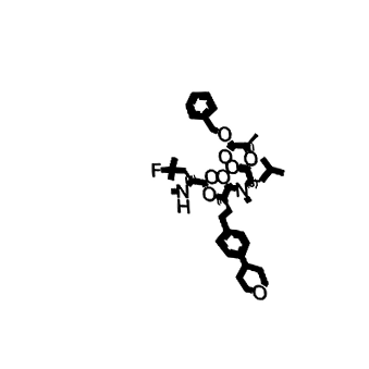 CN[C@@H](CC(C)(C)F)C(=O)O[C@H](CCc1ccc(C2CCOCC2)cc1)C(=O)N(C)[C@@H](CC(C)C)C(=O)O[C@H](C)C(=O)OCc1ccccc1